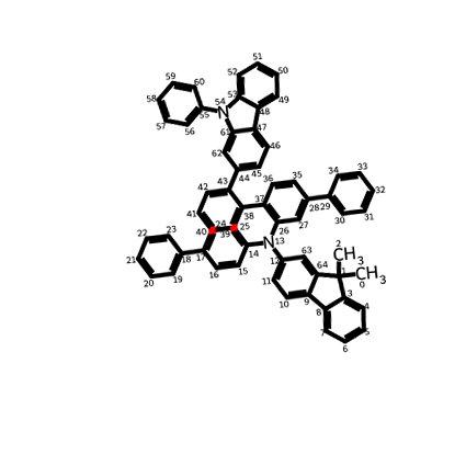 CC1(C)c2ccccc2-c2ccc(N(c3ccc(-c4ccccc4)cc3)c3cc(-c4ccccc4)ccc3-c3ccccc3-c3ccc4c5ccccc5n(-c5ccccc5)c4c3)cc21